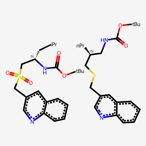 CC(C)C[C@@H](CS(=O)(=O)Cc1cnc2ccccc2c1)NC(=O)OC(C)(C)C.CCC[C@@H](CNC(=O)OC(C)(C)C)CSCc1cnc2ccccc2c1